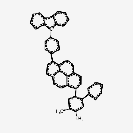 Cc1cc(-c2ccccc2)c(-c2ccc3ccc4c(-c5ccc(-n6c7ccccc7c7ccccc76)cc5)ccc5ccc2c3c54)cc1C